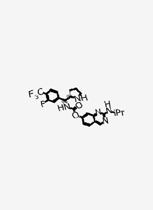 CC(C)Nc1ncc2ccc(OC(=O)N[C@H](c3ccc(C(F)(F)F)c(F)c3)[C@@H]3CCCN3)cc2n1